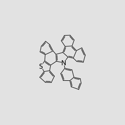 c1ccc2cc(-n3c4c5ccccc5c5ccccc5c4c4c5ccccc5c5sc6ccccc6c5c43)ccc2c1